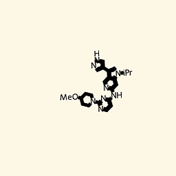 COC1CCN(c2nccc(Nc3cc4c(cn3)c(-c3cn[nH]c3)cn4C(C)C)n2)CC1